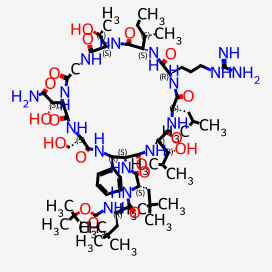 CC[C@H](C)[C@@H]1NC(=O)[C@@H](CCCNC(=N)N)NC(=O)[C@H](CC(C)C)NC(=O)[C@H]([C@H](O)C(C)C)NC(=O)[C@@H](NC(=O)[C@H](CC(C)(C)C)NC(=O)[C@@H](CC(C)(C)C)NC(=O)OC(C)(C)C)[C@@H](c2ccccc2)NC(=O)[C@H](CO)NC(=O)[C@H]([C@H](O)C(N)=O)NC(=O)CNC(=O)[C@H]([C@H](C)O)NC1=O